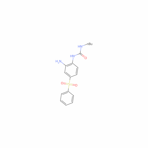 CCCCNC(=O)Nc1ccc(S(=O)(=O)c2ccccc2)cc1N